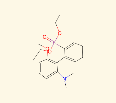 CCOP(=O)(OCC)c1ccccc1-c1c(OC)cccc1N(C)C